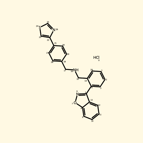 Cl.c1ccc(-c2noc3ccccc23)c(CNCc2ccc(-c3cscn3)cc2)c1